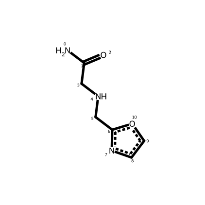 NC(=O)CNCc1ncco1